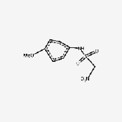 COc1ccc(NS(=O)(=O)C[N+](=O)[O-])cc1